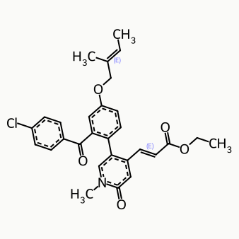 C/C=C(\C)COc1ccc(-c2cn(C)c(=O)cc2/C=C/C(=O)OCC)c(C(=O)c2ccc(Cl)cc2)c1